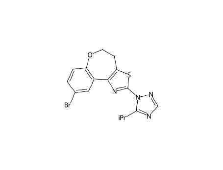 CC(C)c1ncnn1-c1nc2c(s1)CCOc1ccc(Br)cc1-2